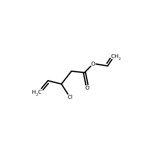 C=COC(=O)CC(Cl)C=C